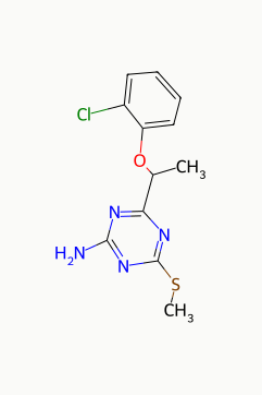 CSc1nc(N)nc(C(C)Oc2ccccc2Cl)n1